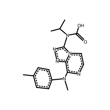 Cc1ccc(N(C)c2nccn3c(N(C(=O)O)C(C)C)nnc23)cc1